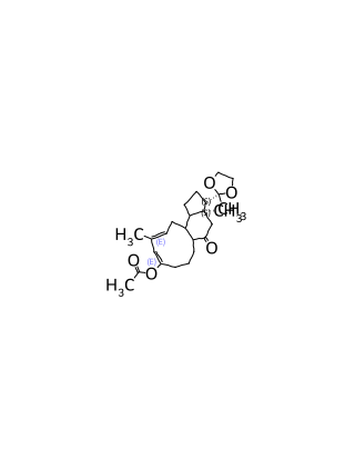 CC(=O)O/C1=C/C(C)=C/CC2C(CCC1)C(=O)C[C@@]1(C)C2CC[C@@H]1C1(C)OCCO1